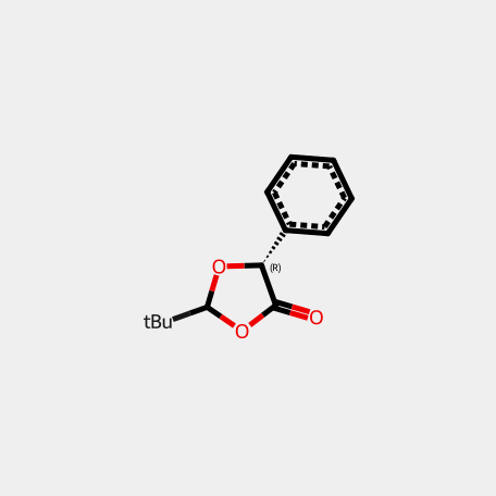 CC(C)(C)C1OC(=O)[C@@H](c2ccccc2)O1